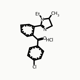 CCN1C(c2ccccc2C(=O)c2ccc(Cl)cc2)=NCC1C.Cl